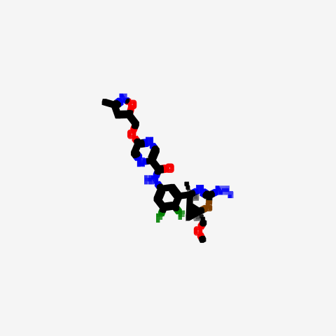 COC[C@]12CC1[C@@](C)(c1cc(NC(=O)c3cnc(OCc4cc(C)no4)cn3)cc(F)c1F)N=C(N)S2